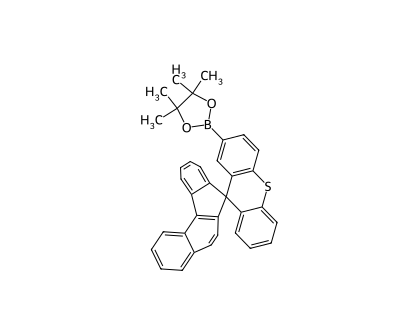 CC1(C)OB(c2ccc3c(c2)C2(c4ccccc4S3)c3ccccc3-c3c2ccc2ccccc32)OC1(C)C